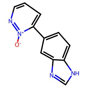 [O-][n+]1ncccc1-c1ccc2[nH]cnc2c1